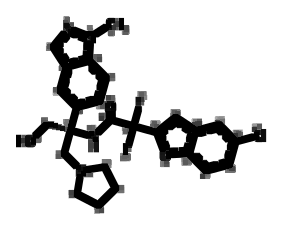 Cn1ncc2cc([C@](CO)(CN3CCCC3)NC(=O)C(F)(F)c3cc4cc(Cl)ccc4o3)ccc21